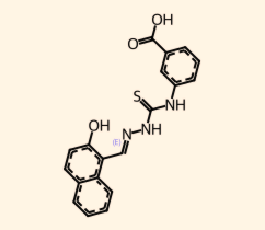 O=C(O)c1cccc(NC(=S)N/N=C/c2c(O)ccc3ccccc23)c1